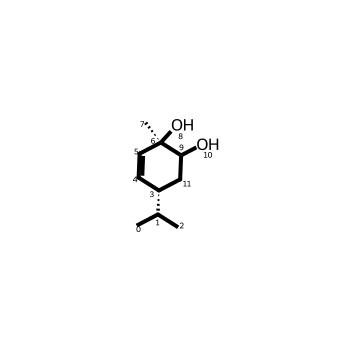 CC(C)[C@@H]1C=C[C@@](C)(O)C(O)C1